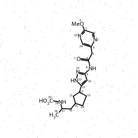 COc1cnc(CC(=O)Nc2cc(C3CCC(CC(C)NC(=O)O)C3)[nH]n2)cn1